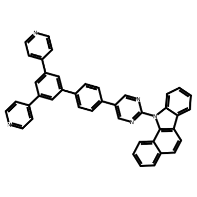 c1ccc2c(c1)ccc1c3ccccc3n(-c3ncc(-c4ccc(-c5cc(-c6ccncc6)cc(-c6ccncc6)c5)cc4)cn3)c21